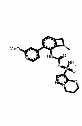 COc1cc(-c2ccc3c(c2NC(=O)N=S(N)(=O)c2cnn4c2OCCC4)[C@H](C)C3)ccn1